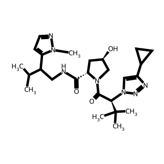 CC(C)C(CNC(=O)[C@@H]1C[C@@H](O)CN1C(=O)[C@@H](n1cc(C2CC2)nn1)C(C)(C)C)c1ccnn1C